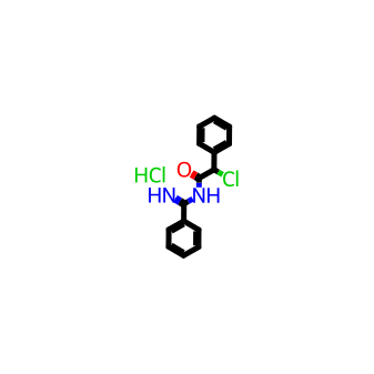 Cl.N=C(NC(=O)C(Cl)c1ccccc1)c1ccccc1